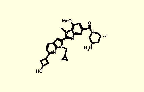 COc1cc(C(=O)N2C[C@H](N)C[C@@H](F)C2)cc2nc(-c3cc4ccc(C5CC(O)C5)nc4n3CC3CC3)n(C)c12